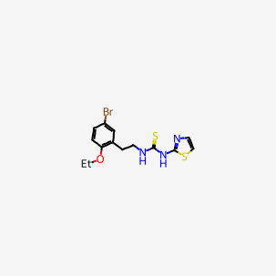 CCOc1ccc(Br)cc1CCNC(=S)Nc1nccs1